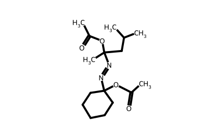 CC(=O)OC(C)(CC(C)C)N=NC1(OC(C)=O)CCCCC1